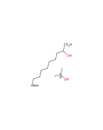 CCCCCCCCCCCCCCCCC(O)C(=O)O.C[SiH](C)O